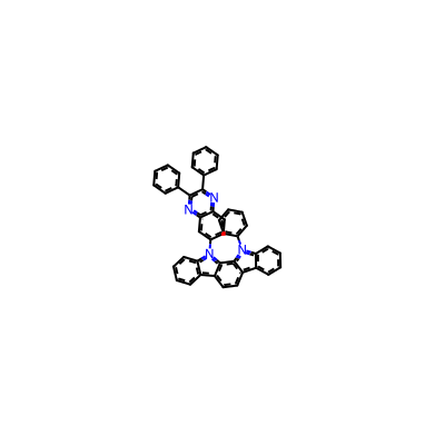 c1ccc(-c2nc3ccc(-n4c5ccccc5c5ccc6c7ccccc7n(-c7ccccc7)c6c54)cc3nc2-c2ccccc2)cc1